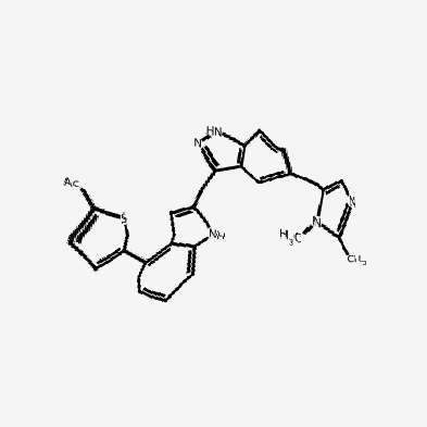 CC(=O)c1ccc(-c2cccc3[nH]c(-c4n[nH]c5ccc(-c6cnc(C)n6C)cc45)cc23)s1